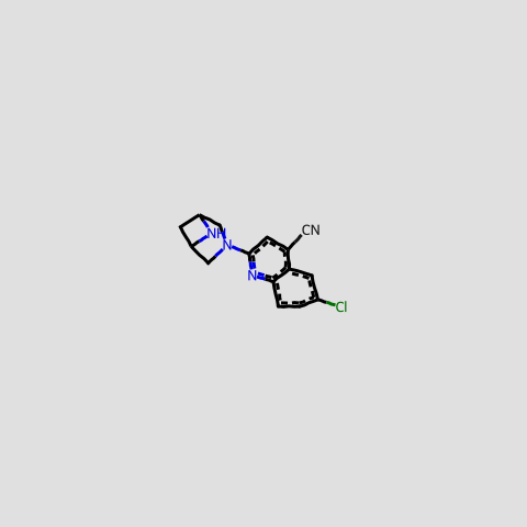 N#Cc1cc(N2CC3CC(C2)N3)nc2ccc(Cl)cc12